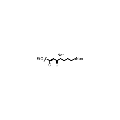 CCCCCCCCCCCCCC(=O)C=C([O-])C(=O)OCC.[Na+]